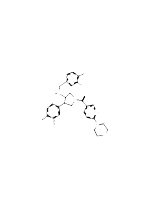 CN(Cc1ccc(C(F)(F)F)c(F)c1)C1CN(C(=O)c2ccc(N3CCOCC3)nc2)CC1c1ccc(Cl)c(Cl)c1